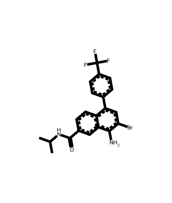 CC(C)NC(=O)c1ccc2c(-c3ccc(C(F)(F)F)cc3)cc(Br)c(N)c2c1